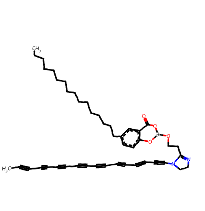 CC#CC#CC#CC#CC#CC#CC#CC#CN1CCN=C1CCOB1OC(=O)c2cc(CCCCCCCCCCCCCCCC)ccc2O1